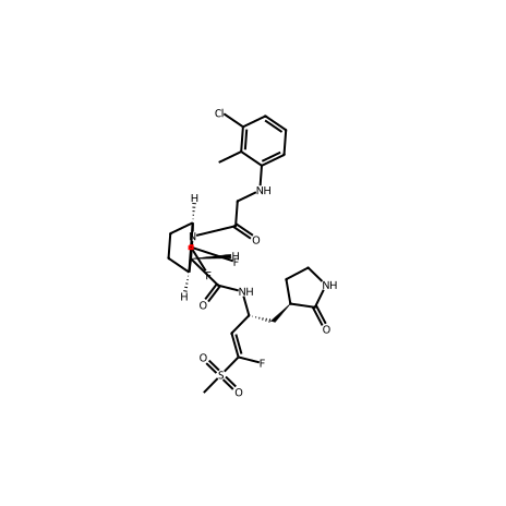 Cc1c(Cl)cccc1NCC(=O)N1[C@@H]2CC[C@H]([C@H]1C(=O)N[C@@H](/C=C(\F)S(C)(=O)=O)C[C@H]1CCNC1=O)C(F)(F)C2